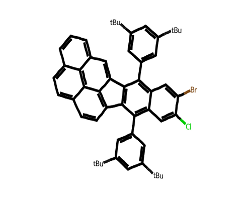 CC(C)(C)c1cc(-c2c3c(c(-c4cc(C(C)(C)C)cc(C(C)(C)C)c4)c4cc(Br)c(Cl)cc24)-c2cc4cccc5ccc6ccc-3c2c6c54)cc(C(C)(C)C)c1